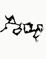 Cc1ccc(C(Oc2ccc(C(CC(=O)O)c3ccon3)cc2)c2ccccc2)cc1CC(C)C